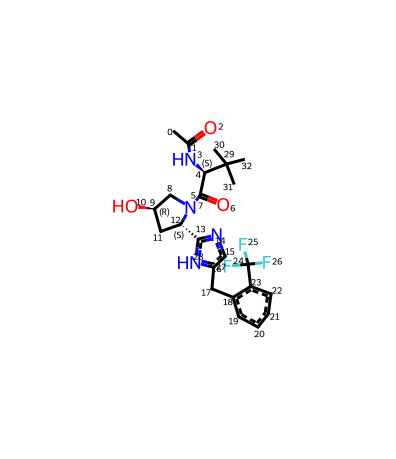 CC(=O)N[C@H](C(=O)N1C[C@H](O)C[C@H]1c1ncc(Cc2ccccc2C(F)(F)F)[nH]1)C(C)(C)C